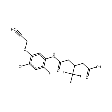 C#CCOc1cc(NC(=O)CC(CC(=O)O)C(F)(F)F)c(F)cc1Cl